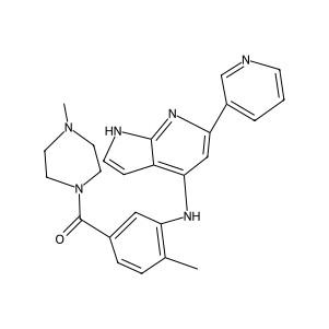 Cc1ccc(C(=O)N2CCN(C)CC2)cc1Nc1cc(-c2cccnc2)nc2[nH]ccc12